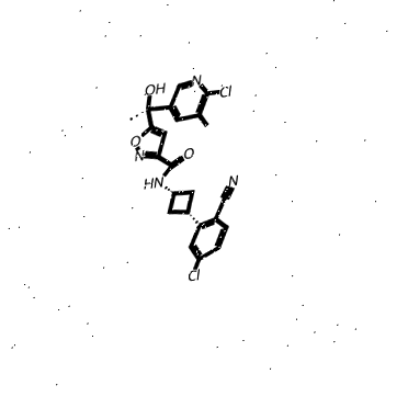 Cc1cc([C@](C)(O)c2cc(C(=O)N[C@H]3C[C@@H](c4cc(Cl)ccc4C#N)C3)no2)cnc1Cl